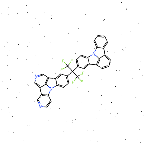 FC(F)(F)C(c1ccc2c(c1)c1cccc3c4ccccc4n2c31)(c1ccc2c(c1)c1cncc3c4cnccc4n2c31)C(F)(F)F